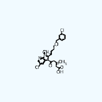 C[C@H](CC(=O)O)CC(=O)c1c(CCCCOCc2cccc(Cl)c2)n(C)c2ncc(Cl)cc12